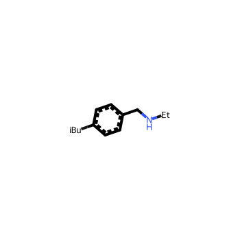 CCNCc1ccc(C(C)CC)cc1